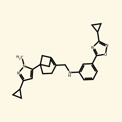 Cn1nc(C2CC2)cc1C12CCC(CNc3cccc(-c4nc(C5CC5)no4)c3)=C(C1)C2